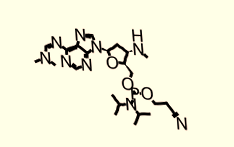 CN[C@H]1C[C@H](n2cnc3c(/N=C\N(C)C)ncnc32)O[C@@H]1COP(OCCC#N)N(C(C)C)C(C)C